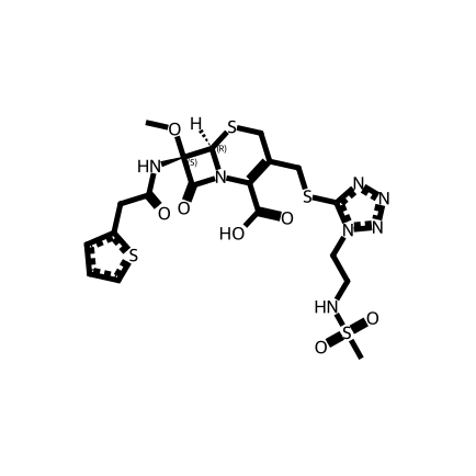 CO[C@@]1(NC(=O)Cc2cccs2)C(=O)N2C(C(=O)O)=C(CSc3nnnn3CCNS(C)(=O)=O)CS[C@@H]21